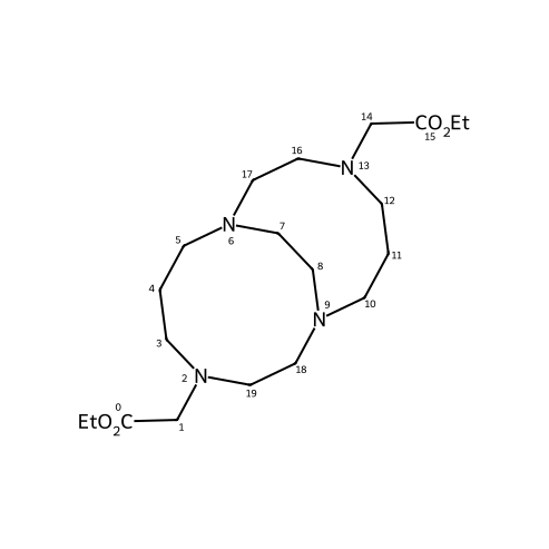 CCOC(=O)CN1CCCN2CCN(CCCN(CC(=O)OCC)CC2)CC1